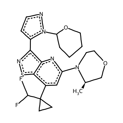 C[C@@H]1COCCN1c1cc(C2(C(F)F)CC2)c2snc(-c3ccnn3C3CCCCO3)c2n1